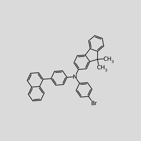 CC1(C)c2ccccc2-c2ccc(N(c3ccc(Br)cc3)c3ccc(-c4cccc5ccccc45)cc3)cc21